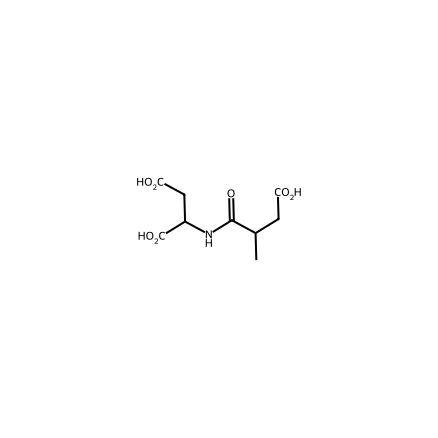 CC(CC(=O)O)C(=O)NC(CC(=O)O)C(=O)O